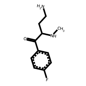 CNC(CCN)C(=O)c1ccc(F)cc1